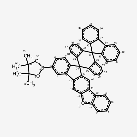 CC1(C)OB(c2ccc3c(c2)-c2cc4oc5ccccc5c4cc2C32c3ccccc3C3(c4ccccc4-c4ccccc43)c3ccccc32)OC1(C)C